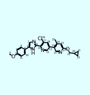 COc1ccc(-c2cnc(-c3ncc(-c4cnc(OCC5CC5)cc4C)cc3Cl)[nH]2)cc1